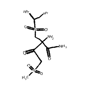 CCCC(CCC)S(=O)(=O)CC(N)(C(N)=O)C(=O)CS(C)(=O)=O